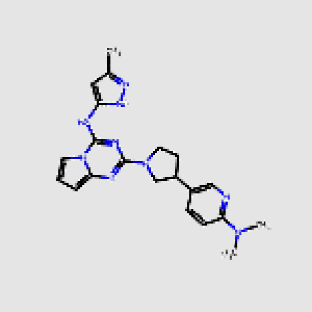 Cc1cc(Nc2nc(N3CCC(c4ccc(N(C)C)nc4)C3)nc3cccn23)[nH]n1